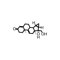 C[C@]12CCC(=O)C=C1CCC1C2=CC[C@@]2(C)C1[C@@H]1C[C@@H]1[C@@]2(O)CO